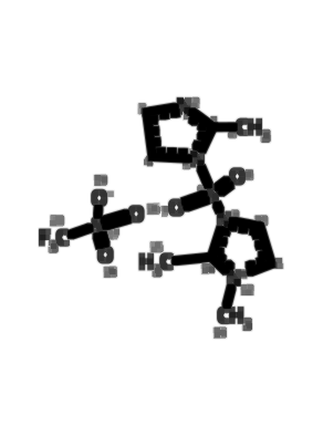 Cc1nccn1S(=O)(=O)n1cc[n+](C)c1C.O=S(=O)([O-])C(F)(F)F